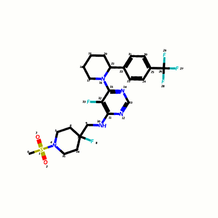 CS(=O)(=O)N1CCC(F)(CNc2ncnc(N3CCCCC3c3ccc(C(F)(F)F)cc3)c2F)CC1